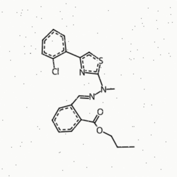 CCCOC(=O)c1ccccc1/C=N/N(C)c1nc(-c2ccccc2Cl)cs1